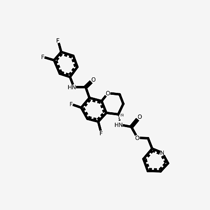 O=C(N[C@H]1CCOc2c(C(=O)Nc3ccc(F)c(F)c3)c(F)cc(F)c21)OCc1ccccn1